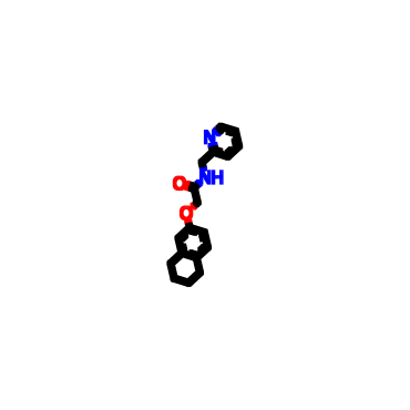 O=C(COc1ccc2c(c1)CCCC2)NCc1ccccn1